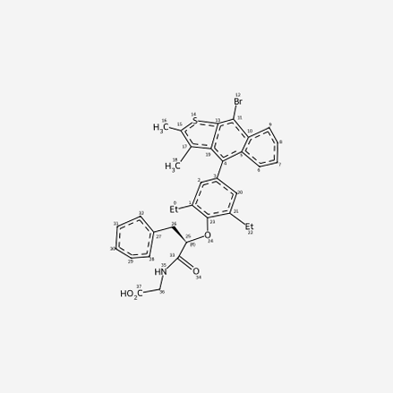 CCc1cc(-c2c3ccccc3c(Br)c3sc(C)c(C)c23)cc(CC)c1O[C@H](Cc1ccccc1)C(=O)NCC(=O)O